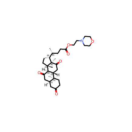 C[C@H](CCC(=O)OCCN1CCOCC1)[C@H]1CC[C@@]2(C)[C@@H]3C(=O)C[C@@H]4CC(=O)CC[C@]4(C)[C@H]3CC(=O)[C@]12C